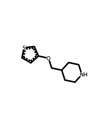 c1cc(OCC2CCNCC2)cs1